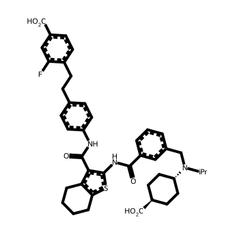 CC(C)N(Cc1cccc(C(=O)Nc2sc3c(c2C(=O)Nc2ccc(CCc4ccc(C(=O)O)cc4F)cc2)CCCC3)c1)[C@H]1CC[C@H](C(=O)O)CC1